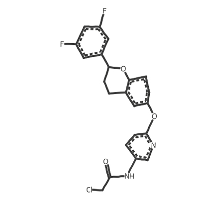 O=C(CCl)Nc1ccc(Oc2ccc3c(c2)CCC(c2cc(F)cc(F)c2)O3)nc1